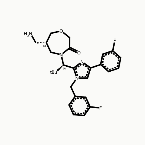 CC(C)(C)[C@H](c1nc(-c2cccc(F)c2)cn1Cc1cccc(F)c1)N1C[C@H](CN)COCC1=O